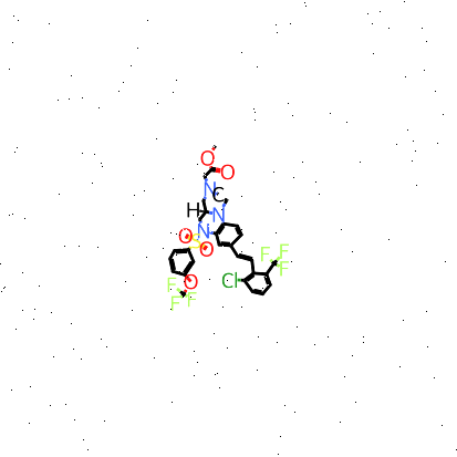 COC(=O)CN1CCN2c3ccc(/C=C/c4c(Cl)cccc4C(F)(F)F)cc3N(S(=O)(=O)c3cccc(OC(F)(F)F)c3)C[C@@H]2C1